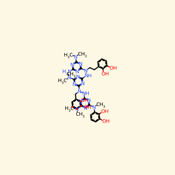 CN(C)c1nc(N)nc(N(CCc2cccc(O)c2O)Nc2nc(N(C)C)nc(N(Cc3cccc(O)c3O)Nc3nc(N(C)C)nc(N(C)c4cccc(O)c4O)n3)n2)n1